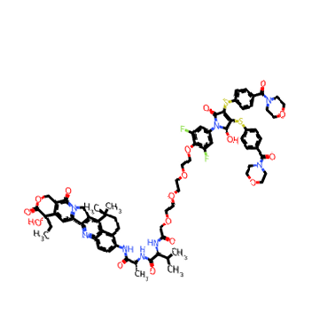 CC[C@@]1(O)C(=O)OCc2c1cc1n(c2=O)Cc2c-1nc1ccc(NC(=O)[C@H](C)NC(=O)[C@@H](NC(=O)COCCOCCOCCOc3c(F)cc(N4C(=O)C(Sc5ccc(C(=O)N6CCOCC6)cc5)=C(Sc5ccc(C(=O)N6CCOCC6)cc5)C4O)cc3F)C(C)C)c3c1c2C(C)(C)CC3